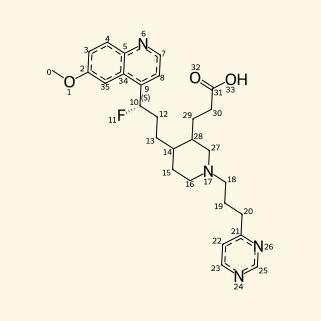 COc1ccc2nccc([C@@H](F)CCC3CCN(CCCc4ccncn4)CC3CCC(=O)O)c2c1